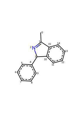 CC1=NC(c2ccccc2)c2ccccc21